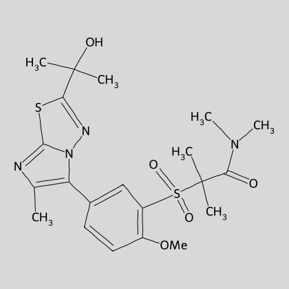 COc1ccc(-c2c(C)nc3sc(C(C)(C)O)nn23)cc1S(=O)(=O)C(C)(C)C(=O)N(C)C